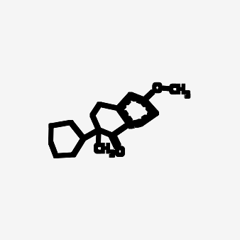 COc1ccc2c(c1)CCC(C)(C1CCCCC1)C2=O